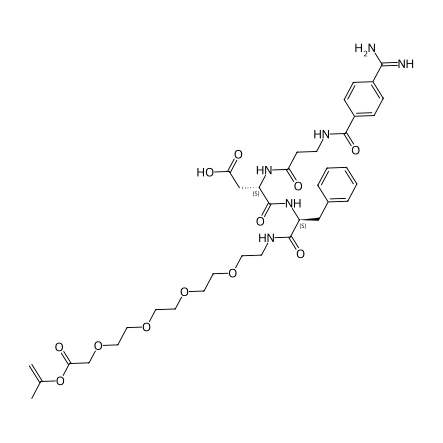 C=C(C)OC(=O)COCCOCCOCCOCCNC(=O)[C@H](Cc1ccccc1)NC(=O)[C@H](CC(=O)O)NC(=O)CCNC(=O)c1ccc(C(=N)N)cc1